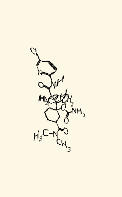 CN(C)C(=O)[C@H]1CC[C@H](NC(=O)C(=O)Nc2ccc(Cl)cn2)[C@](OC(N)=O)(C(C)(C)C)C1